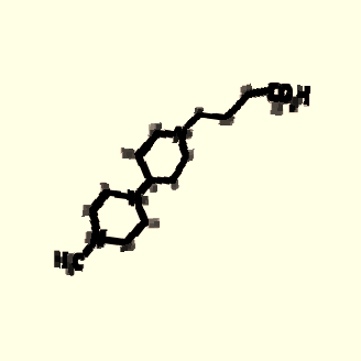 CN1CCN(C2CCN(CCCC(=O)O)CC2)CC1